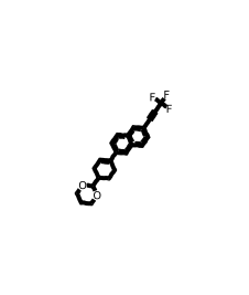 FC(F)(F)C#Cc1ccc2cc(C3=CCC(C4OCCCO4)CC3)ccc2c1